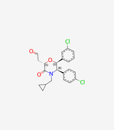 O=CC[C@@H]1O[C@@H](c2cccc(Cl)c2)[C@@H](c2ccc(Cl)cc2)N(CC2CC2)C1=O